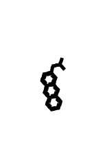 CC(C)Cc1ccc2cc3ccccc3cc2c1